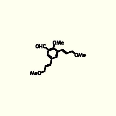 COCC=Cc1cc(C=O)c(OC)c(C=CCOC)c1